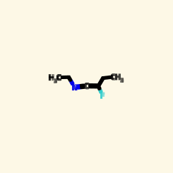 CCN=C=C(F)CC